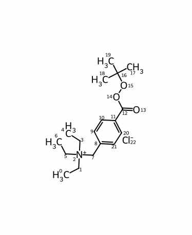 CC[N+](CC)(CC)Cc1ccc(C(=O)OOC(C)(C)C)cc1.[Cl-]